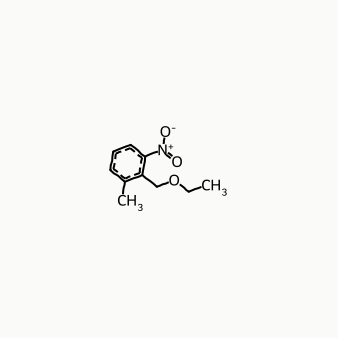 CCOCc1c(C)cccc1[N+](=O)[O-]